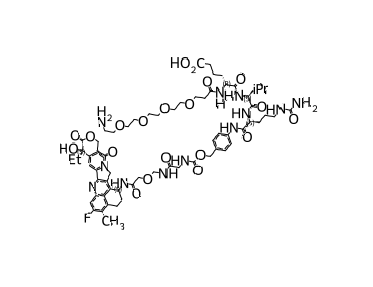 CC[C@@]1(O)C(=O)OCc2c1cc1n(c2=O)Cc2c-1nc1cc(F)c(C)c3c1c2[C@@H](NC(=O)COCNC(=O)CNC(=O)OCc1ccc(NC(=O)[C@H](CCCNC(N)=O)NC(=O)[C@@H](NC(=O)[C@@H](CCCC(=O)O)NC(=O)CCOCCOCCOCCOCCN)C(C)C)cc1)CC3